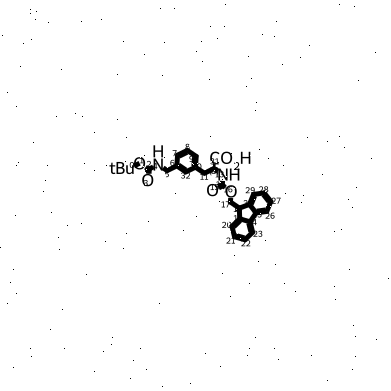 CC(C)(C)OC(=O)NCc1cccc(C[C@H](NC(=O)OCC2c3ccccc3-c3ccccc32)C(=O)O)c1